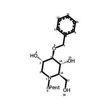 CCCCCN1C[C@H](O)[C@@H](OCc2ccccc2)[C@H](O)[C@H]1CO